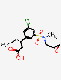 CC[C@@H](CC(=O)O)c1cc(Cl)cc(S(=O)(=O)N(C)CC2CO2)c1